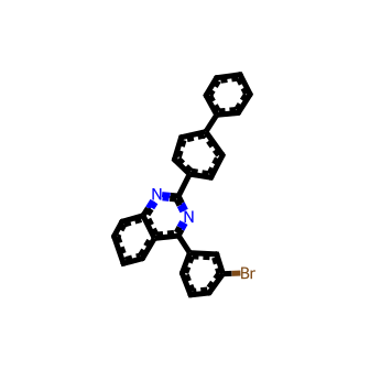 Brc1cccc(-c2nc(-c3ccc(-c4ccccc4)cc3)nc3ccccc23)c1